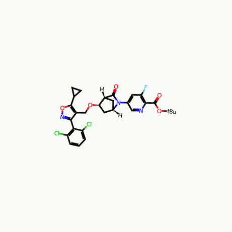 CC(C)(C)OC(=O)c1ncc(N2C(=O)[C@@H]3C[C@H]2C[C@H]3OCc2c(-c3c(Cl)cccc3Cl)noc2C2CC2)cc1F